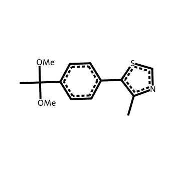 COC(C)(OC)c1ccc(-c2scnc2C)cc1